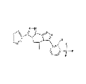 C[C@H]1Cn2c(-c3cccnn3)nnc2-c2nnc(-c3cccc(C(F)(F)F)c3Cl)n21